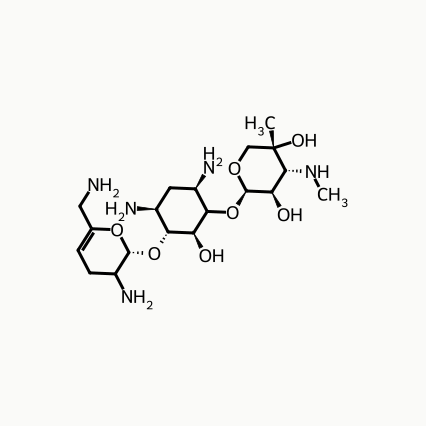 CN[C@@H]1[C@@H](O)[C@@H](OC2[C@H](N)C[C@H](N)[C@@H](O[C@H]3OC(CN)=CCC3N)[C@@H]2O)OC[C@]1(C)O